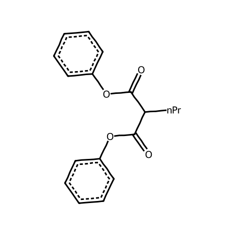 CCCC(C(=O)Oc1ccccc1)C(=O)Oc1ccccc1